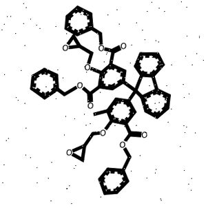 Cc1cc(C2(c3cc(C(=O)OCc4ccccc4)c(OCC4CO4)c(C(=O)OCc4ccccc4)c3)c3ccccc3-c3ccccc32)cc(C(=O)OCc2ccccc2)c1OCC1CO1